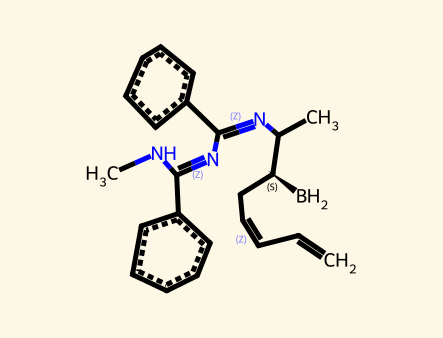 B[C@@H](C/C=C\C=C)C(C)/N=C(\N=C(/NC)c1ccccc1)c1ccccc1